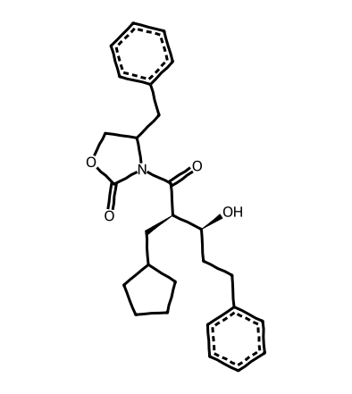 O=C1OCC(Cc2ccccc2)N1C(=O)[C@H](CC1CCCC1)[C@@H](O)CCc1ccccc1